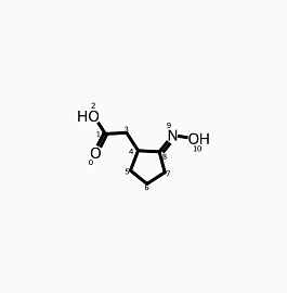 O=C(O)CC1CCC/C1=N\O